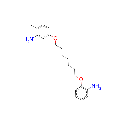 Cc1ccc(OCCCCCCCOc2ccccc2N)cc1N